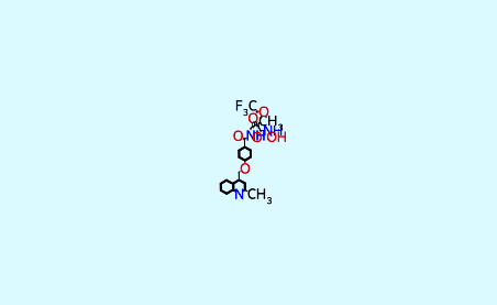 Cc1cc(COc2ccc(C(=O)NC[C@@](C)(OC(=O)C(F)(F)F)C(=O)NO)cc2)c2ccccc2n1